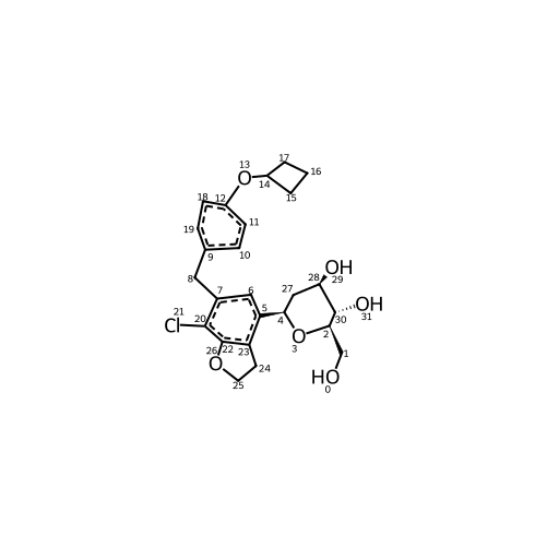 OC[C@H]1O[C@@H](c2cc(Cc3ccc(OC4CCC4)cc3)c(Cl)c3c2CCO3)C[C@@H](O)[C@@H]1O